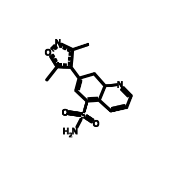 Cc1noc(C)c1C1=CC(S(N)(=O)=O)=C2C=CC=NC2C1